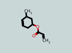 C=CC(=O)OC1CC=CC(C)C1